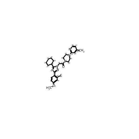 COc1ccc(-c2nc(C3CCCCC3)n(CC(=O)N3CCN(c4cc(C)ccn4)CC3)n2)c(F)c1